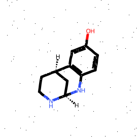 Oc1ccc2c(c1)[C@@H]1CCN[C@@H](C1)N2